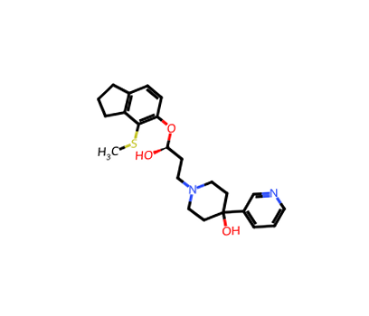 CSc1c(O[C@H](O)CCN2CCC(O)(c3cccnc3)CC2)ccc2c1CCC2